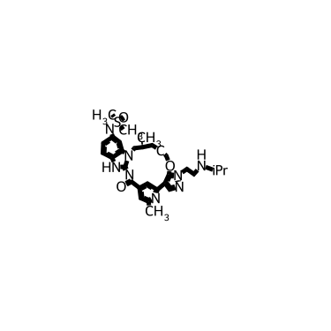 Cc1cc2cc(n1)-c1cnn(CCNC(C)C)c1OCCC[C@@H](C)CN1/C(=N/C2=O)Nc2ccc(N=S(C)(C)=O)cc21